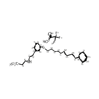 O=C(O)C(F)(F)F.O=C(O)CCNCCc1cccc(OCCCCCCCCCc2ccccc2)c1